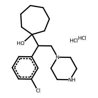 Cl.Cl.OC1(C(CN2CCNCC2)c2cccc(Cl)c2)CCCCCC1